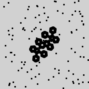 c1ccc(-c2c(-c3ccccc3)n(-c3cc4c5ccccc5c(-n5c(-c6ccccc6)c(-c6ccccc6)c6ccccc65)cc4c4ccccc34)c3ccccc23)cc1